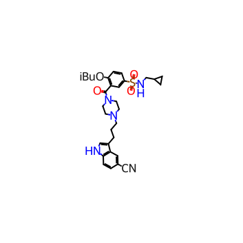 CC(C)COc1ccc(S(=O)(=O)NCC2CC2)cc1C(=O)N1CCN(CCCc2c[nH]c3ccc(C#N)cc23)CC1